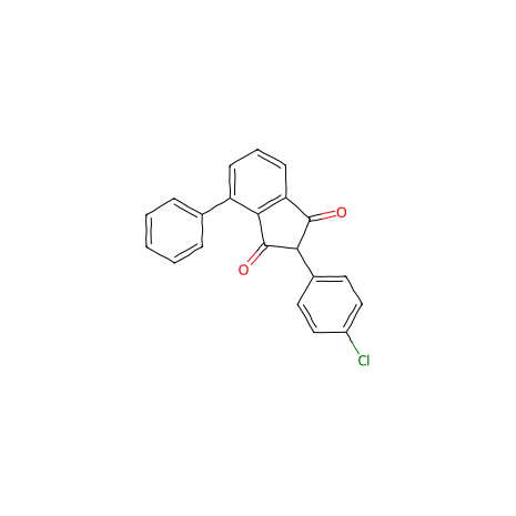 O=C1c2cccc(-c3ccccc3)c2C(=O)C1c1ccc(Cl)cc1